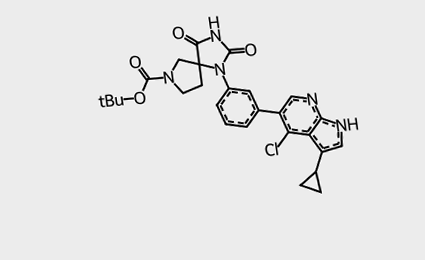 CC(C)(C)OC(=O)N1CCC2(C1)C(=O)NC(=O)N2c1cccc(-c2cnc3[nH]cc(C4CC4)c3c2Cl)c1